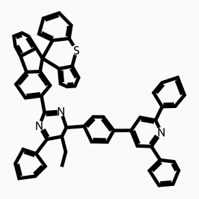 CCC1C(c2ccccc2)=NC(c2ccc3c(c2)C2(c4ccccc4Sc4ccccc42)c2ccccc2-3)=NC1c1ccc(-c2cc(-c3ccccc3)nc(-c3ccccc3)c2)cc1